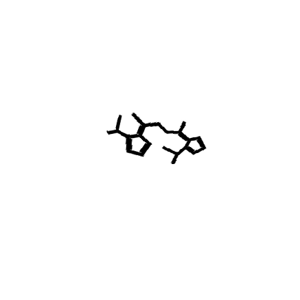 CC(CCC(C)=C1C=CC=C1C(C)C)=C1C=CC=C1C(C)C